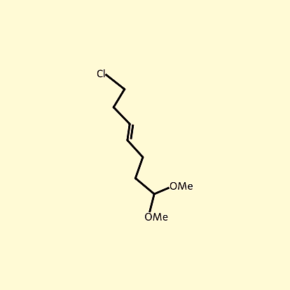 COC(CC/C=C/CCCl)OC